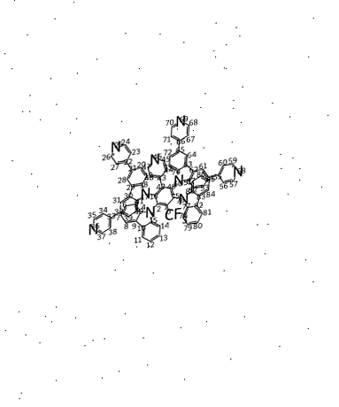 FC(F)(F)c1c(-n2c3ccccc3c3ccccc32)c(-n2c3ccc(-c4ccncc4)cc3c3cc(-c4ccncc4)ccc32)c(-c2ccncc2)c(-n2c3ccc(-c4ccncc4)cc3c3cc(-c4ccncc4)ccc32)c1-n1c2ccccc2c2ccccc21